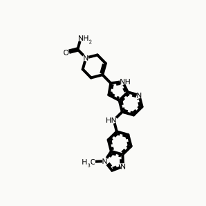 Cn1cnc2ccc(Nc3ccnc4[nH]c(C5=CCN(C(N)=O)CC5)cc34)cc21